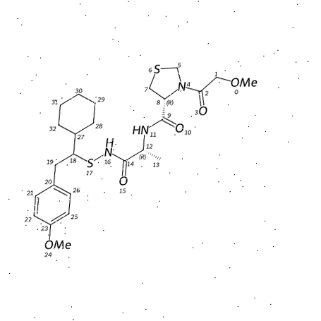 COCC(=O)N1CSC[C@H]1C(=O)N[C@H](C)C(=O)NSC(Cc1ccc(OC)cc1)C1CCCCC1